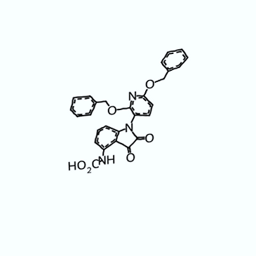 O=C(O)Nc1cccc2c1C(=O)C(=O)N2c1ccc(OCc2ccccc2)nc1OCc1ccccc1